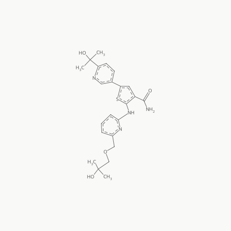 CC(C)(O)COCc1cccc(Nc2sc(-c3ccc(C(C)(C)O)nc3)cc2C(N)=O)n1